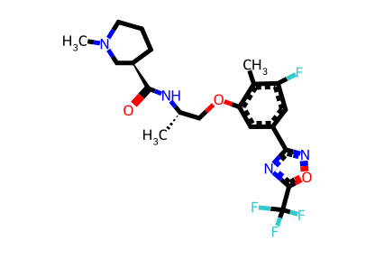 Cc1c(F)cc(-c2noc(C(F)(F)F)n2)cc1OC[C@H](C)NC(=O)[C@@H]1CCCN(C)C1